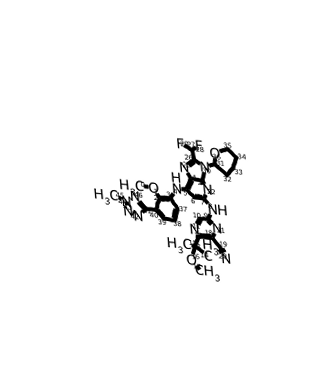 COc1c(Nc2cc(Nc3cnc(C(C)(C)OC)c(C#N)n3)nc3c2nc(C(F)F)n3C2CCCCO2)cccc1-c1nnn(C)n1